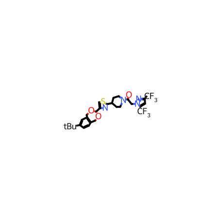 CC(C)(C)c1ccc2c(c1)COC(c1csc(C3CCN(C(=O)Cn4nc(C(F)(F)F)cc4C(F)(F)F)CC3)n1)OC2